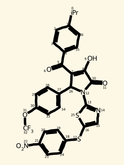 CC(C)c1ccc(C(=O)C2=C(O)C(=O)N(c3ncc(Sc4ccc([N+](=O)[O-])cc4)s3)C2c2ccc(OC(F)(F)F)cc2)cc1